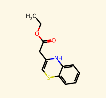 CCOC(=O)CC1=CSc2ccccc2N1